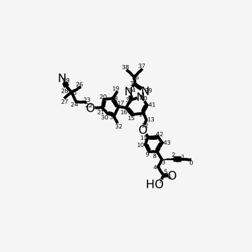 CC#C[C@@H](CC(=O)O)c1ccc(OCc2cc(-c3c(C)cc(OCCC(C)(C)C#N)cc3C)c3nc(C(C)C)nn3c2)cc1